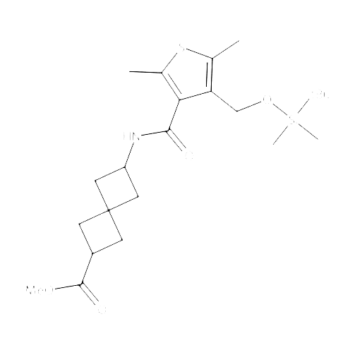 COC(=O)C1CC2(CC(NC(=O)c3c(C)sc(C)c3CO[Si](C)(C)C(C)(C)C)C2)C1